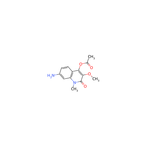 COc1c(OC(C)=O)c2ccc(N)cc2n(C)c1=O